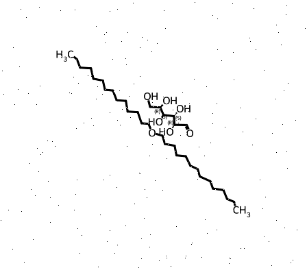 CCCCCCCCCCCCCCOCCCCCCCCCCCCCC.O=C[C@H](O)[C@@H](O)[C@@H](O)[C@H](O)CO